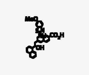 COc1ccc2nc(NCC(=Cc3ccc(C(=O)O)cc3)CC(O)c3cccc4ccccc34)sc2c1